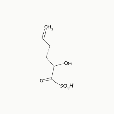 C=CCCC(O)C(=O)S(=O)(=O)O